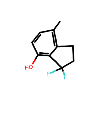 Cc1ccc(O)c2c1CCC2(F)F